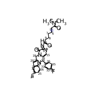 CN(C)C(=O)/C=C/CCCC(=O)Nc1nccn(Cc2cc3cc(F)ccc3n2Cc2ccc(F)cc2)c1=O